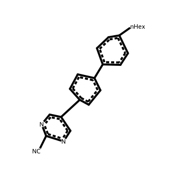 CCCCCCc1ccc(-c2ccc(-c3cnc(C#N)nc3)cc2)cc1